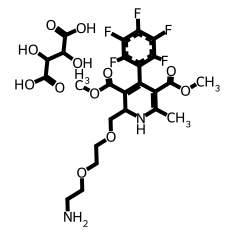 COC(=O)C1=C(C)NC(COCCOCCN)C(C(=O)OC)=C1c1c(F)c(F)c(F)c(F)c1F.O=C(O)C(O)C(O)C(=O)O